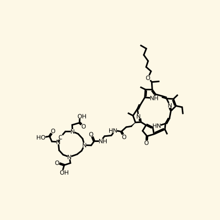 CCCCCCOC(C)c1c(C)c2cc3nc(c4c5[nH]c(cc6nc(cc1[nH]2)C(C)=C6CC)c(C)c5C(=O)C4)[C@@H](CCC(=O)NCCNC(=O)CN1CCN(CC(=O)O)CCN(CC(=O)O)CCN(CC(=O)O)CC1)C3C